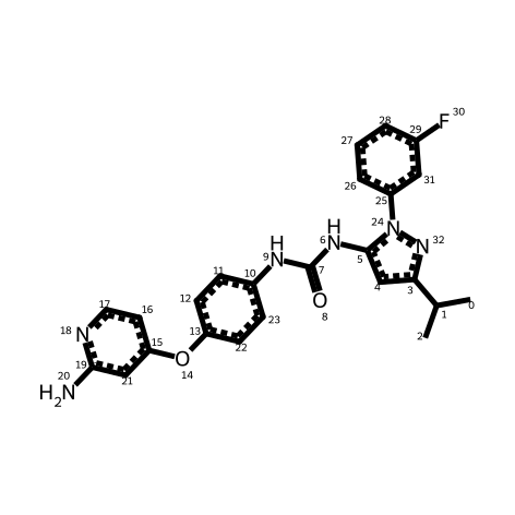 CC(C)c1cc(NC(=O)Nc2ccc(Oc3ccnc(N)c3)cc2)n(-c2cccc(F)c2)n1